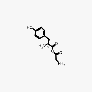 NCC(=O)OC(=O)[C@@H](N)Cc1ccc(O)cc1